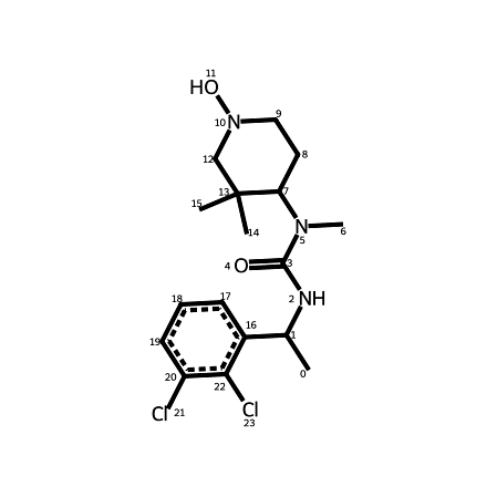 CC(NC(=O)N(C)C1CCN(O)CC1(C)C)c1cccc(Cl)c1Cl